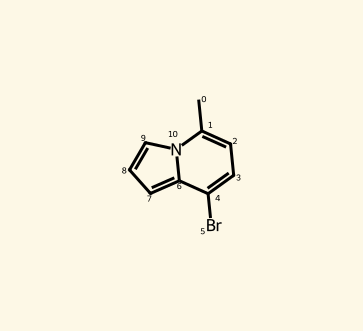 Cc1ccc(Br)c2cccn12